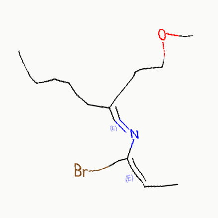 C/C=C(Br)\N=C(/CCCC)CCOC